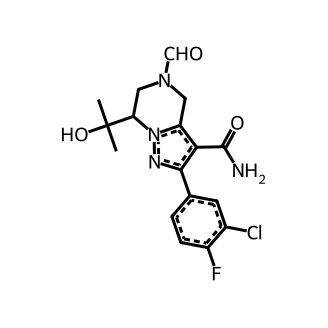 CC(C)(O)C1CN(C=O)Cc2c(C(N)=O)c(-c3ccc(F)c(Cl)c3)nn21